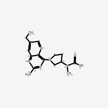 CCc1cnc2c(N3CCC(N(C)C(=O)O)C3)nc(N)nc2c1